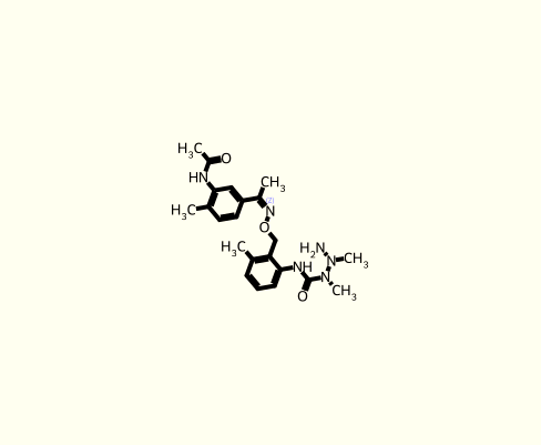 CC(=O)Nc1cc(/C(C)=N\OCc2c(C)cccc2NC(=O)N(C)N(C)N)ccc1C